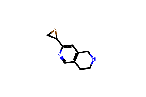 c1nc(C2CS2)cc2c1CCNC2